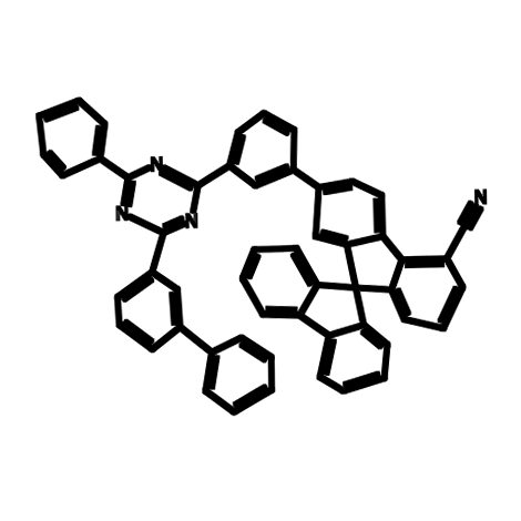 N#Cc1cccc2c1-c1ccc(-c3cccc(-c4nc(-c5ccccc5)nc(-c5cccc(-c6ccccc6)c5)n4)c3)cc1C21c2ccccc2-c2ccccc21